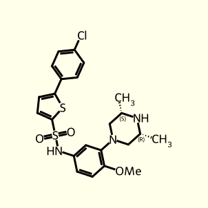 COc1ccc(NS(=O)(=O)c2ccc(-c3ccc(Cl)cc3)s2)cc1N1C[C@@H](C)N[C@@H](C)C1